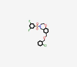 O=S(=O)(c1cc(F)cc(F)c1)N1CCOc2ccc(COCc3ccccc3Cl)cc2C1